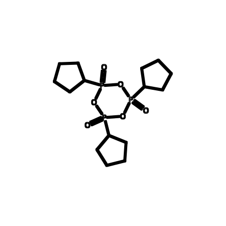 O=P1(C2CCCC2)OP(=O)(C2CCCC2)OP(=O)(C2CCCC2)O1